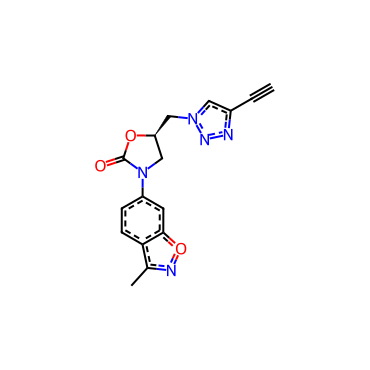 C#Cc1cn(C[C@H]2CN(c3ccc4c(C)noc4c3)C(=O)O2)nn1